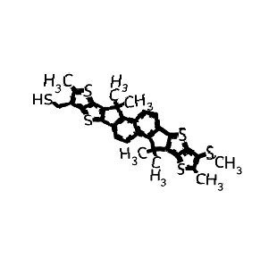 CSc1c(C)sc2c3c(sc12)-c1ccc2c4c(ccc2c1C3(C)C)-c1sc2c(CS)c(C)sc2c1C4(C)C